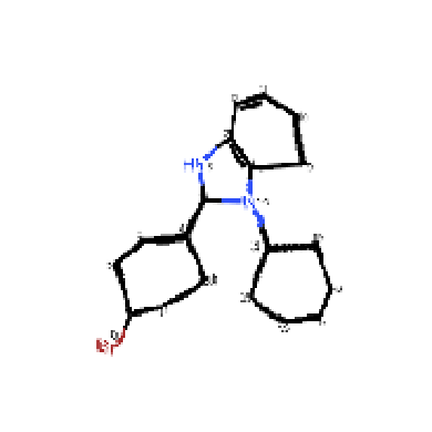 BrC1CCC(C2NC3=C(CCC=C3)N2C2CCCCC2)CC1